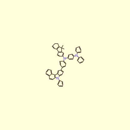 CC1(C)C2=C(C=CCC2)c2ccc(N(c3ccc(-c4ccc5c(c4)c4c6ccccc6ccc4n5-c4ccccc4)cc3)c3ccc(N(c4ccccc4)c4ccccc4)cc3)cc21